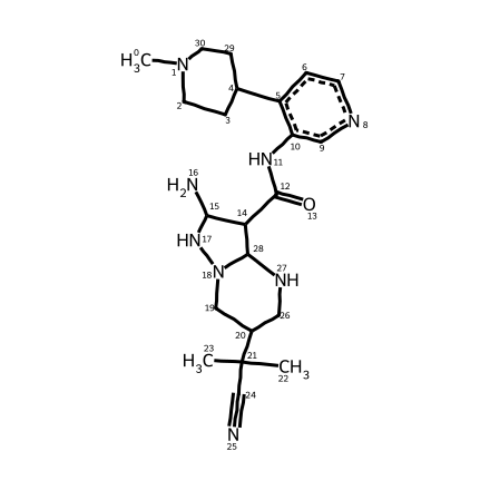 CN1CCC(c2ccncc2NC(=O)C2C(N)NN3CC(C(C)(C)C#N)CNC23)CC1